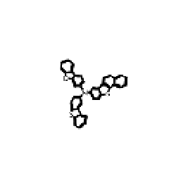 c1ccc2c(c1)ccc1c3cc(N(c4ccc5c(c4)oc4ccccc45)c4ccc5sc6ccccc6c5c4)ccc3sc21